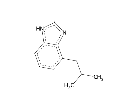 CC(C)Cc1cccc2[nH][c]nc12